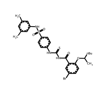 CCCCC(C)Oc1ccc(Br)cc1C(=O)NC(=S)Nc1ccc(S(=O)(=O)Nc2cc(C)cc(C)c2)cc1